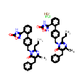 Br.CCCc1nc(C)c(Cc2ccccc2)c(=O)n1Cc1ccc(-c2ccccc2-c2noc(=O)[nH]2)cc1.CCCc1nc(C)c(Cc2ccccc2)c(=O)n1Cc1ccc(-c2ccccc2-c2noc(=O)[nH]2)cc1.Cl